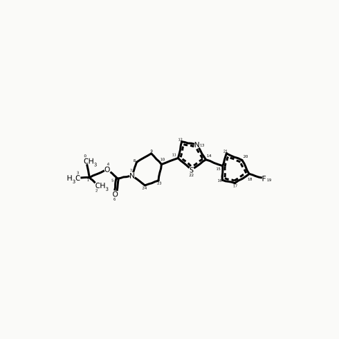 CC(C)(C)OC(=O)N1CCC(c2cnc(-c3ccc(F)cc3)s2)CC1